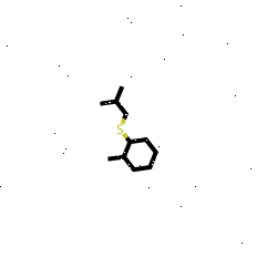 CC(C)CSC1CCCCC1C